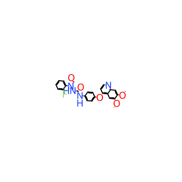 COc1cc2nccc(Oc3ccc(NC(=O)NN(C=O)c4ccccc4F)cc3)c2cc1OC